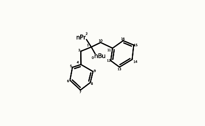 [CH2]CCCC(CCC)(Cc1ccccc1)Cc1ccccc1